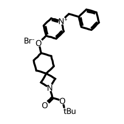 CC(C)(C)OC(=O)N1CC2(CCC(Oc3cc[n+](Cc4ccccc4)cc3)CC2)C1.[Br-]